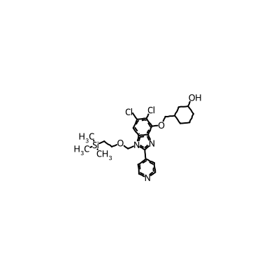 C[Si](C)(C)CCOCn1c(-c2ccncc2)nc2c(OCC3CCCC(O)C3)c(Cl)c(Cl)cc21